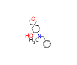 CN(Cc1ccccc1)C1CC[C@]2(CCOC2)C[C@@H]1O